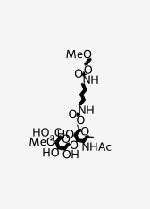 COCCOC(=O)NCCCCCNC(=O)OC[C@@H]1O[C@@H](C)[C@@H](NC(C)=O)[C@H](O[C@H]2O[C@@H](C(=O)O)C(OC)[C@H](O)[C@@H]2O)C1O